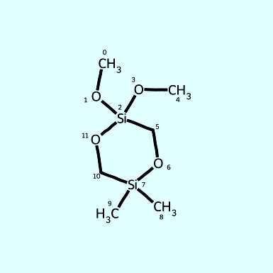 CO[Si]1(OC)CO[Si](C)(C)CO1